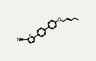 CCC=CCOc1ccc(-c2ccc(-c3ccc(C#N)s3)cc2)cc1